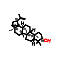 [CH2][C@]12CC[C@@H](C(=C)C)[C@@H]1[C@H]1CC[C@@H]3[C@@]4(C)CC[C@H](O)C(C)(C)[C@@H]4CC[C@@]3(C)[C@]1(C)CC2